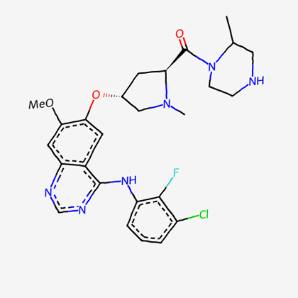 COc1cc2ncnc(Nc3cccc(Cl)c3F)c2cc1O[C@@H]1C[C@@H](C(=O)N2CCNCC2C)N(C)C1